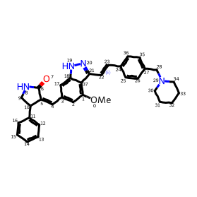 COc1cc(C=C2C(=O)NCC2c2ccccc2)cc2[nH]nc(/C=C/c3ccc(CN4CCCCC4)cc3)c12